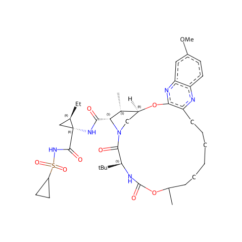 CC[C@@H]1C[C@]1(NC(=O)[C@@H]1[C@H](C)[C@@H]2CN1C(=O)[C@H](C(C)(C)C)NC(=O)OC(C)CCCCCCc1nc3ccc(OC)cc3nc1O2)C(=O)NS(=O)(=O)C1CC1